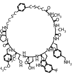 COc1ccc(C[C@@H]2NC(=O)[C@@H]([C@@H](C)O)NC(=O)[C@H](CC(=O)O)NC(=O)[C@H](Cc3c[nH]c4ccc(F)cc34)NC(=O)[C@H](Cc3cccc(CN)c3)NC(=O)[C@@H](C)NC(=O)[C@H](C)NC(=O)CCSCc3cccc(c3)CSCCNC(=O)[C@]3(C)CCCN3C2=O)cc1